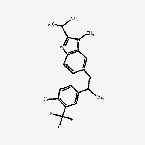 CC(C)c1nc2ccc(CC(C)c3ccc(Cl)c(C(F)(F)F)c3)cc2n1C